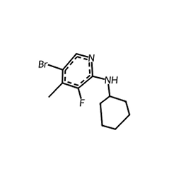 Cc1c(Br)cnc(NC2CCCCC2)c1F